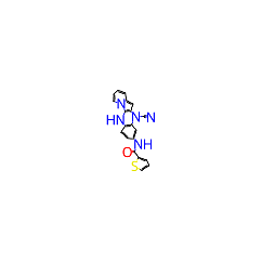 N#CN1c2cc(NC(=O)c3cccs3)ccc2Nc2c1cc1ccccn21